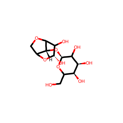 OCC1O[C@@H](O[C@@H]2C3COC2C(O)[C@H](O)O3)C(O)[C@@H](O)[C@H]1O